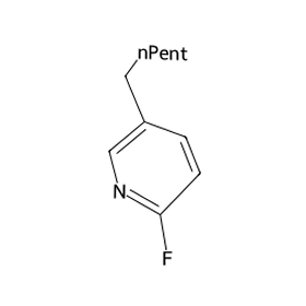 [CH2]CCCCCc1ccc(F)nc1